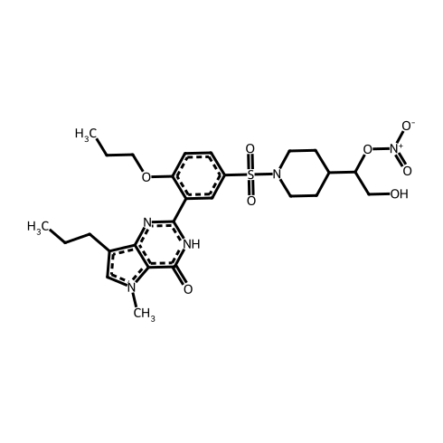 CCCOc1ccc(S(=O)(=O)N2CCC(C(CO)O[N+](=O)[O-])CC2)cc1-c1nc2c(CCC)cn(C)c2c(=O)[nH]1